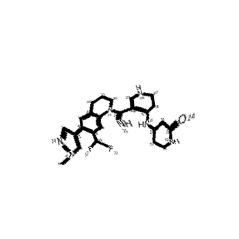 Cn1cc(-c2cc3c(cc2C(F)F)N(C(=N)C2=C(NC4CCNC(=O)C4)CCNC2)CCC3)cn1